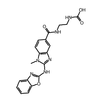 Cn1c(Nc2nc3ccccc3o2)nc2cc(C(=O)NCCNC(=O)O)ccc21